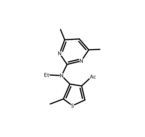 CCN(c1nc(C)cc(C)n1)c1c(C(C)=O)csc1C